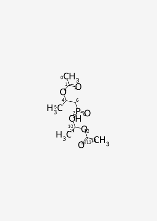 CC(=O)OC(C)C[PH](=O)OC(C)OC(C)=O